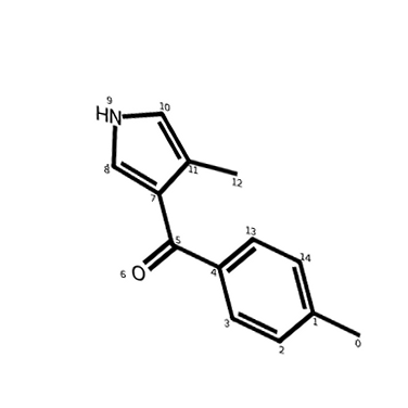 Cc1ccc(C(=O)c2[c][nH]cc2C)cc1